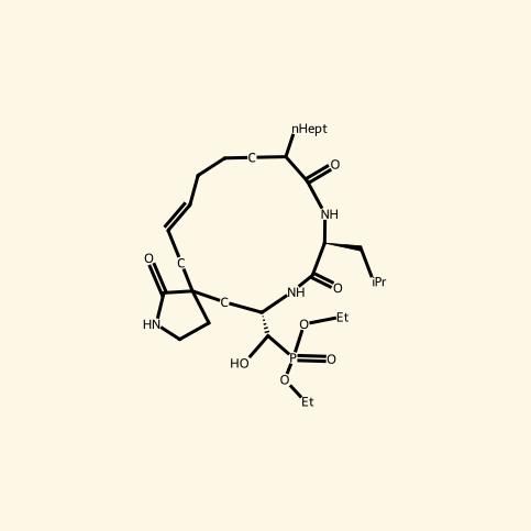 CCCCCCCC1CCC/C=C/CC2(CCNC2=O)C[C@@H](C(O)P(=O)(OCC)OCC)NC(=O)[C@H](CC(C)C)NC1=O